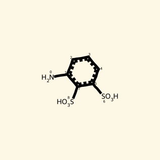 Nc1cccc(S(=O)(=O)O)c1S(=O)(=O)O